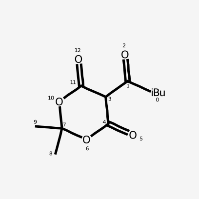 CCC(C)C(=O)C1C(=O)OC(C)(C)OC1=O